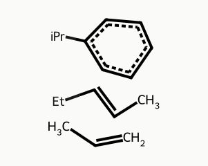 C/C=C/CC.C=CC.CC(C)c1ccccc1